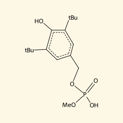 COP(=O)(O)OCc1cc(C(C)(C)C)c(O)c(C(C)(C)C)c1